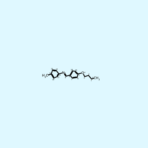 CCCCOc1ccc(C=Nc2ccc(C)cc2)cc1